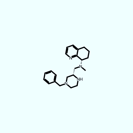 CN(C[C@H]1CN(Cc2ccccc2)CCN1)[C@H]1CCCc2cccnc21